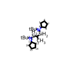 CC([SiH2]N(C1CCCC1)C(C)(C)C)[SiH2]N(C1CCCC1)C(C)(C)C